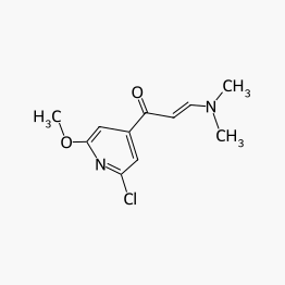 COc1cc(C(=O)C=CN(C)C)cc(Cl)n1